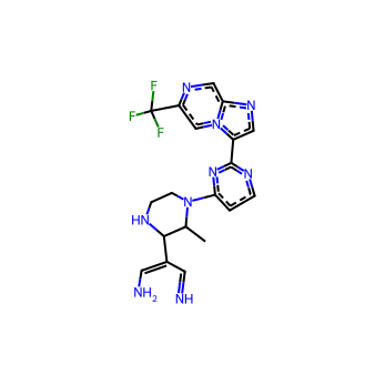 CC1C(/C(C=N)=C/N)NCCN1c1ccnc(-c2cnc3cnc(C(F)(F)F)cn23)n1